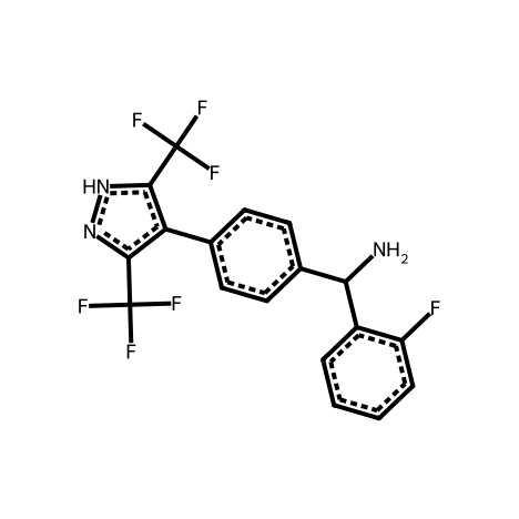 NC(c1ccc(-c2c(C(F)(F)F)n[nH]c2C(F)(F)F)cc1)c1ccccc1F